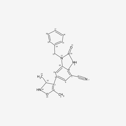 CC1=C(c2cc(C#N)c3[nH]c(=O)n(Cc4ccccc4)c3c2)C(C)NO1